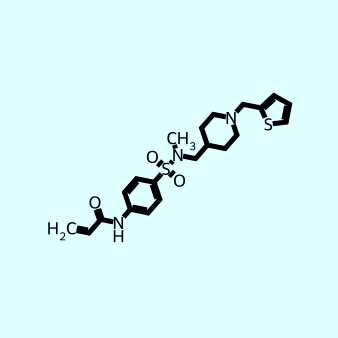 C=CC(=O)Nc1ccc(S(=O)(=O)N(C)CC2CCN(Cc3cccs3)CC2)cc1